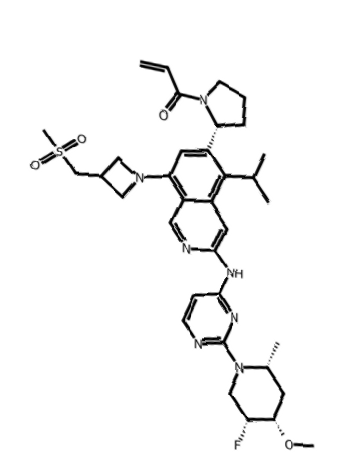 C=CC(=O)N1CCC[C@@H]1c1cc(N2CC(CS(C)(=O)=O)C2)c2cnc(Nc3ccnc(N4C[C@@H](F)[C@@H](OC)C[C@H]4C)n3)cc2c1C(C)C